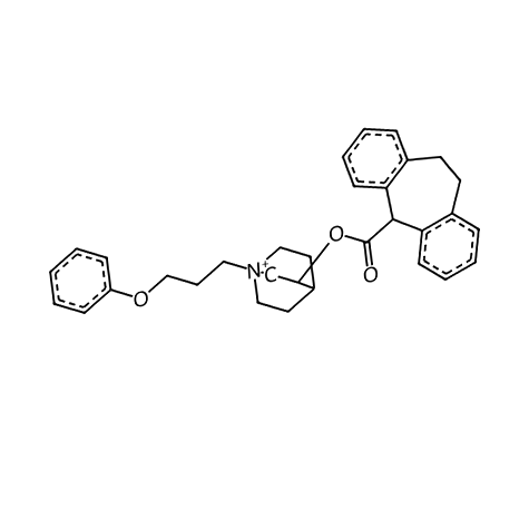 O=C(OC1C[N+]2(CCCOc3ccccc3)CCC1CC2)C1c2ccccc2CCc2ccccc21